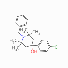 CC1(C)CC(O)(c2ccc(Cl)cc2)CC(C)(C)N1Cc1ccccc1